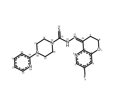 Fc1cnc2c(c1)OCC/C2=N/NC(=S)N1CCN(c2ccccn2)CC1